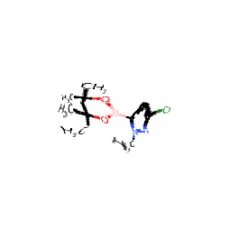 Cn1nc(Cl)cc1B1OC(C)(C)C(C)(C)O1